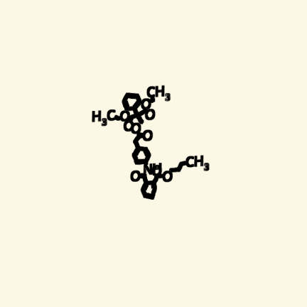 CCCCOC(=O)c1ccccc1C(=O)Nc1ccc(CC(=O)OCC(C(=O)OCC)(C(=O)OCC)c2ccccc2)cc1